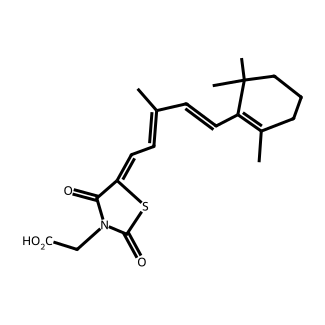 CC(C=CC1=C(C)CCCC1(C)C)=CC=C1SC(=O)N(CC(=O)O)C1=O